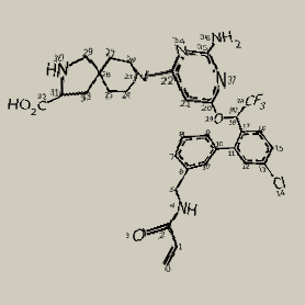 C=CC(=O)NCc1cccc(-c2cc(Cl)ccc2[C@@H](Oc2cc(N3CCC4(CC3)CNC(C(=O)O)C4)nc(N)n2)C(F)(F)F)c1